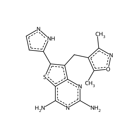 Cc1noc(C)c1Cc1c(-c2ccn[nH]2)sc2c(N)nc(N)nc12